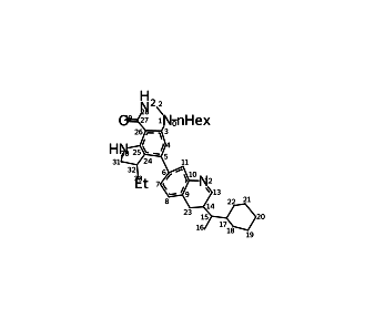 CCCCCCN(C)c1cc(-c2ccc3c(c2)N=CC(C(C)C2CCCCC2)C3)c2c(c1C(N)=O)NCC2CC